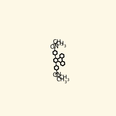 CC1(C)COC(c2ccc(-c3ccc(-c4ccc(C5=NC(C)(C)CO5)cc4)c4c5ccccc5c5ccccc5c34)cc2)=N1